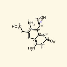 Nc1c(CC(=O)O)cc2c(N)[nH]c(=O)nc2c1/C=N/O